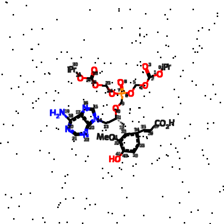 CC(C)OC(=O)OCOP(=O)(CO[C@H](C)Cn1cnc2c(N)ncnc21)OCOC(=O)OC(C)C.COc1cc(/C=C/C(=O)O)ccc1O